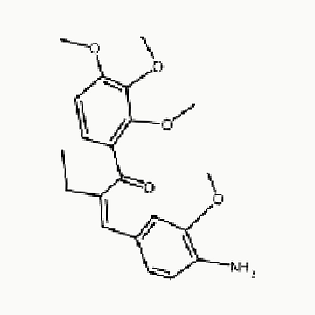 CCC(=Cc1ccc(N)c(OC)c1)C(=O)c1ccc(OC)c(OC)c1OC